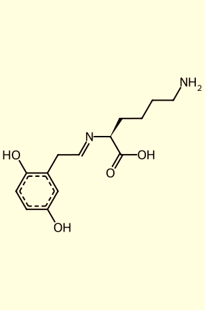 NCCCC[C@H](N=CCc1cc(O)ccc1O)C(=O)O